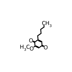 CCCCCC1=CC(=O)C=C(OC)C1=O